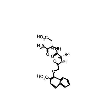 BC(=O)[C@H](CC(=O)O)NC(=O)[C@@H](NC(=O)COc1c(C(=O)O)ccc2ccccc12)C(C)C